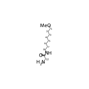 COCCCCCCCCNC(=O)CN